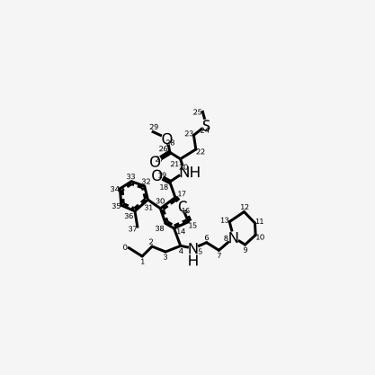 CCCCC(NCCN1CCCCC1)c1ccc(C(=O)NC(CCSC)C(=O)OC)c(-c2ccccc2C)c1